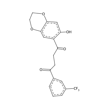 O=C(CCC(=O)c1cc2c(cc1O)OCCO2)c1cccc(C(F)(F)F)c1